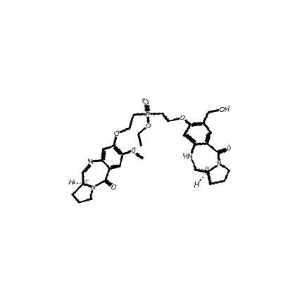 CCOP(=O)(CCOc1cc2c(cc1CO)C(=O)N1CCC[C@H]1CN2)CCOc1cc2c(cc1OC)C(=O)N1CCC[C@H]1C=N2